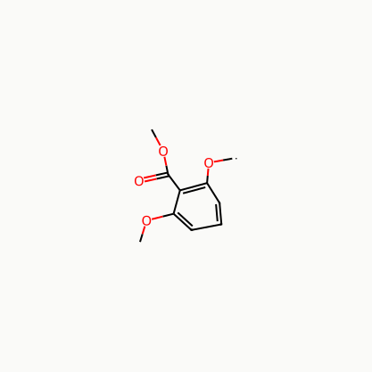 [CH2]Oc1cccc(OC)c1C(=O)OC